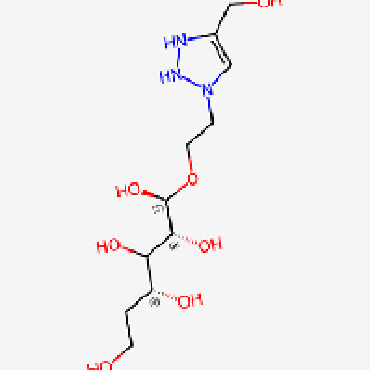 OCC[C@@H](O)C(O)[C@@H](O)[C@@H](O)OCCN1C=C(CO)NN1